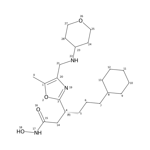 Cc1oc([C@H](CCCC2CCCCC2)CC(=O)NO)nc1CNC1CCOCC1